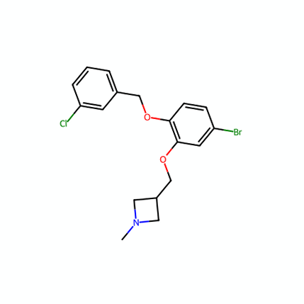 CN1CC(COc2cc(Br)ccc2OCc2cccc(Cl)c2)C1